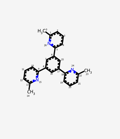 Cc1cccc(-c2cc(-c3cccc(C)n3)cc(-c3cccc(C)n3)c2)n1